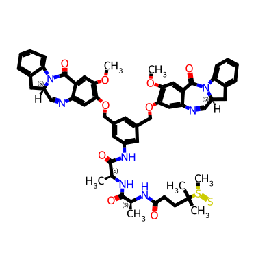 COc1cc2c(cc1OCc1cc(COc3cc4c(cc3OC)C(=O)N3c5ccccc5C[C@H]3C=N4)cc(NC(=O)[C@H](C)NC(=O)[C@H](C)NC(=O)CCC(C)(C)S(C)=S)c1)N=C[C@@H]1Cc3ccccc3N1C2=O